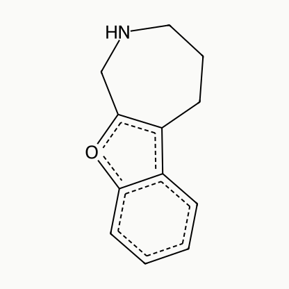 c1ccc2c3c(oc2c1)CNCCC3